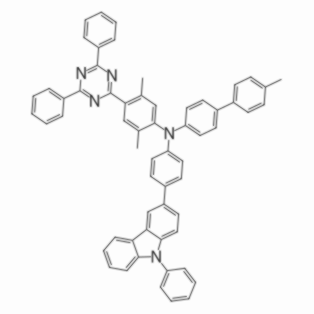 Cc1ccc(-c2ccc(N(c3ccc(-c4ccc5c(c4)c4ccccc4n5-c4ccccc4)cc3)c3cc(C)c(-c4nc(-c5ccccc5)nc(-c5ccccc5)n4)cc3C)cc2)cc1